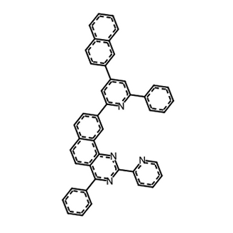 c1ccc(-c2cc(-c3ccc4ccccc4c3)cc(-c3ccc4ccc5c(-c6ccccc6)nc(-c6ccccn6)nc5c4c3)n2)cc1